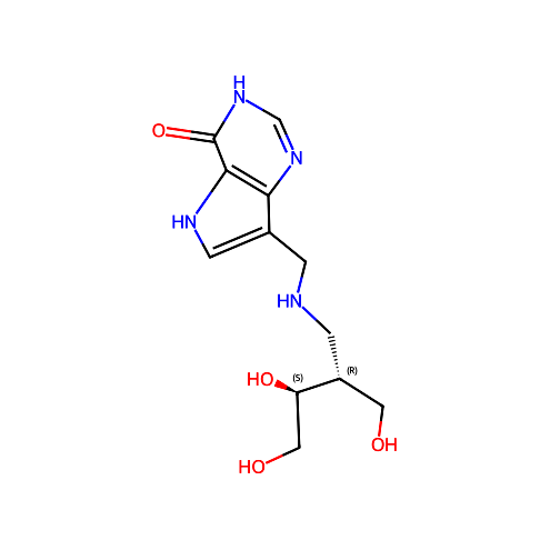 O=c1[nH]cnc2c(CNC[C@H](CO)[C@H](O)CO)c[nH]c12